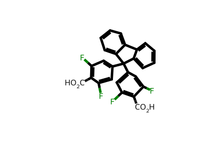 O=C(O)c1c(F)cc(C2(c3cc(F)c(C(=O)O)c(F)c3)c3ccccc3-c3ccccc32)cc1F